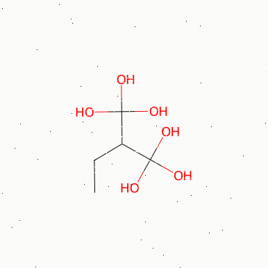 CCC(C(O)(O)O)C(O)(O)O